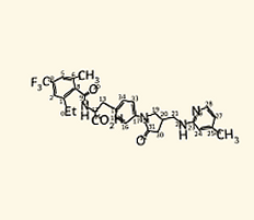 CCc1cc(C(F)(F)F)cc(C)c1C(=O)NC(Cc1ccc(N2CC(CNc3cc(C)ccn3)CC2=O)cc1)C(=O)O